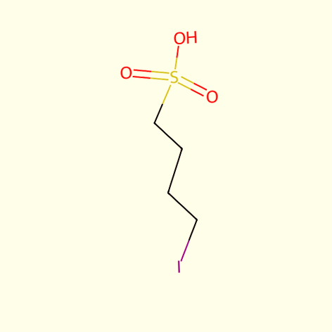 O=S(=O)(O)CCCCI